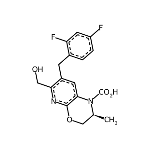 C[C@H]1COc2nc(CO)c(Cc3ccc(F)cc3F)cc2N1C(=O)O